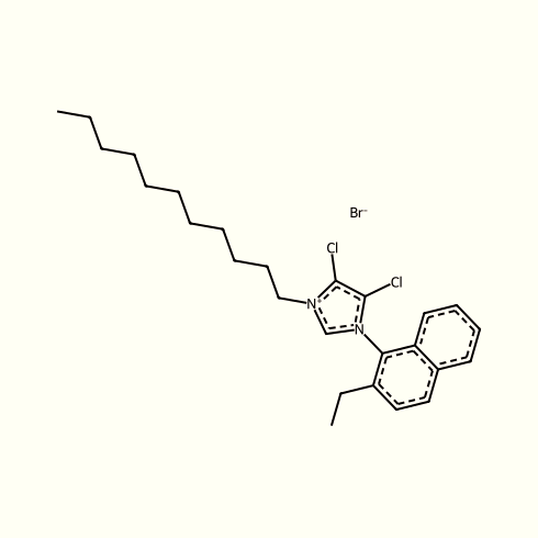 CCCCCCCCCCC[n+]1cn(-c2c(CC)ccc3ccccc23)c(Cl)c1Cl.[Br-]